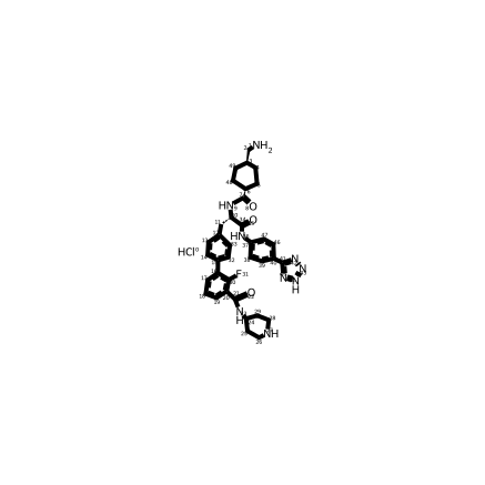 Cl.NC[C@H]1CC[C@H](C(=O)N[C@@H](Cc2ccc(-c3cccc(C(=O)NC4CCNCC4)c3F)cc2)C(=O)Nc2ccc(-c3nn[nH]n3)cc2)CC1